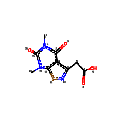 Cn1c(=O)c2c(CC(=O)O)nsc2n(C)c1=O